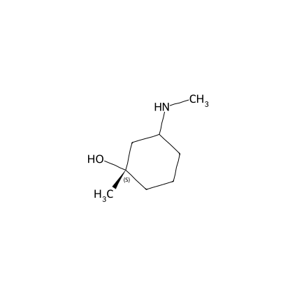 CNC1CCC[C@](C)(O)C1